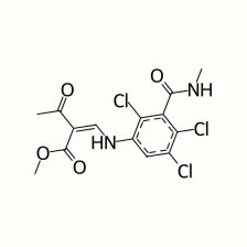 CNC(=O)c1c(Cl)c(Cl)cc(NC=C(C(C)=O)C(=O)OC)c1Cl